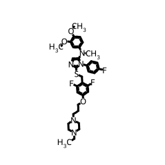 CCN1CCN(CCCOc2cc(F)c(CSc3ncc(N(C)c4ccc(OC)c(OC)c4)n3-c3ccc(F)cc3)c(F)c2)CC1